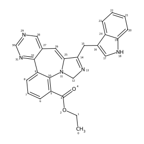 CCOC(=O)c1cccc2c1N1CN=C(Cc3c[nH]c4ccccc34)C1=Cc1cncnc1-2